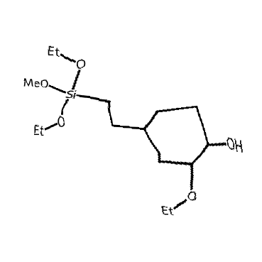 CCOC1CC(CC[Si](OC)(OCC)OCC)CCC1O